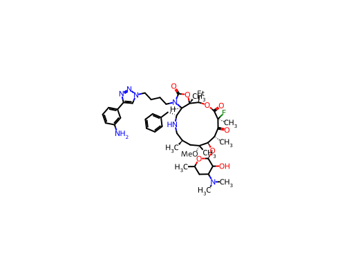 CC[C@H]1OC(=O)[C@@](C)(F)C(=O)[C@H](C)[C@@H](O[C@@H]2OC(C)CC(N(C)C)C2O)[C@](C)(OC)C[C@@H](C)CN[C@H](Cc2ccccc2)[C@H]2N(CCCCn3cc(-c4cccc(N)c4)nn3)C(=O)O[C@]12C